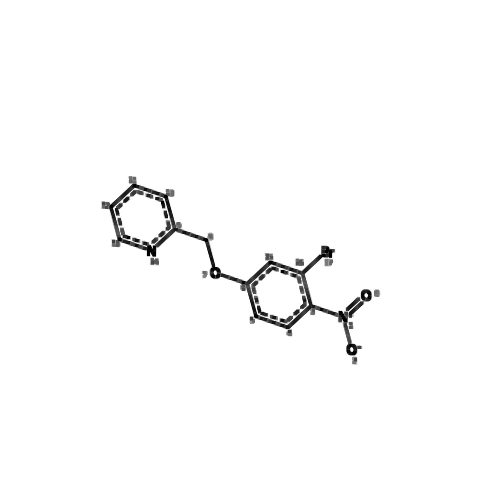 O=[N+]([O-])c1ccc(OCc2ccccn2)cc1Br